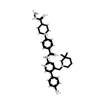 CC1(C)CCCN(Cc2cc(NC(=O)c3ccc(N4CCC(C(=O)OC(C)(C)C)CC4)cc3)ncc2-c2ccc(C(F)(F)F)cc2)C1